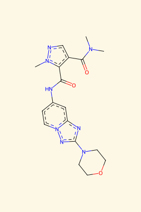 CN(C)C(=O)c1cnn(C)c1C(=O)Nc1ccn2nc(N3CCOCC3)nc2c1